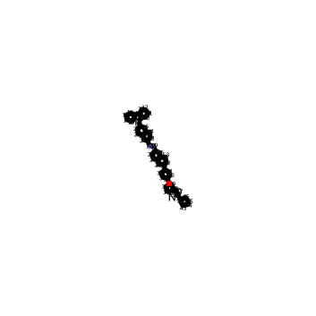 C(=C\c1ccc2cc(-n3c4ccccc4c4ccccc43)ccc2c1)/c1ccc2cc(-c3ccc(-c4ccc5nc(-c6ccccc6)oc5c4)cc3)ccc2c1